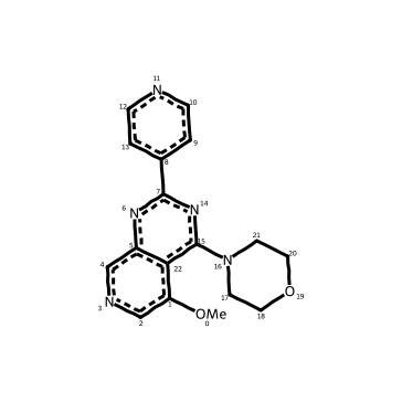 COc1cncc2nc(-c3ccncc3)nc(N3CCOCC3)c12